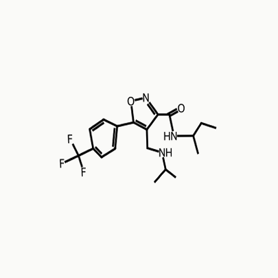 CCC(C)NC(=O)c1noc(-c2ccc(C(F)(F)F)cc2)c1CNC(C)C